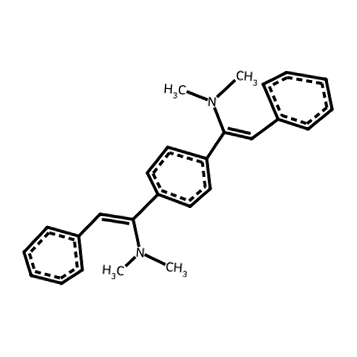 CN(C)C(=Cc1ccccc1)c1ccc(C(=Cc2ccccc2)N(C)C)cc1